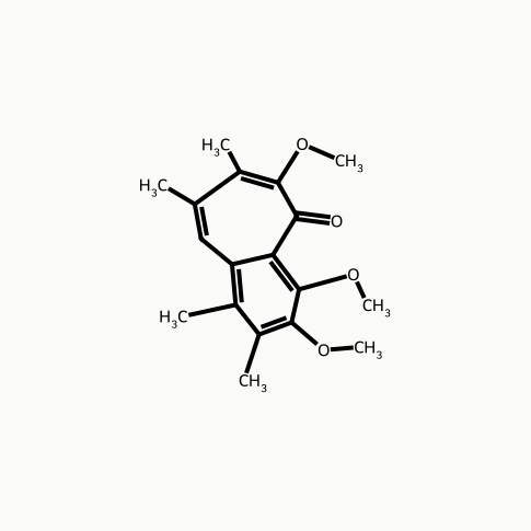 COc1c(C)c(C)c2cc(C)c(C)c(OC)c(=O)c2c1OC